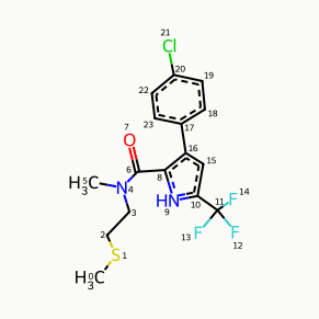 CSCCN(C)C(=O)c1[nH]c(C(F)(F)F)cc1-c1ccc(Cl)cc1